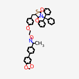 CC(=NOCCOc1ccc(CC2SC(=O)N(C(c3ccccc3)(c3ccccc3)c3ccccc3)C2=O)cc1)c1ccc(-c2ccc3c(c2)OCO3)cc1